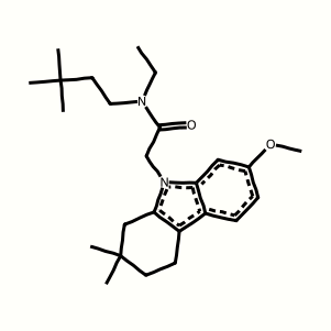 CCN(CCC(C)(C)C)C(=O)Cn1c2c(c3ccc(OC)cc31)CCC(C)(C)C2